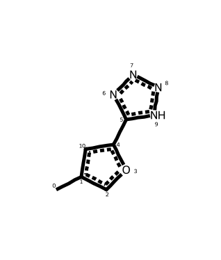 Cc1coc(-c2nnn[nH]2)c1